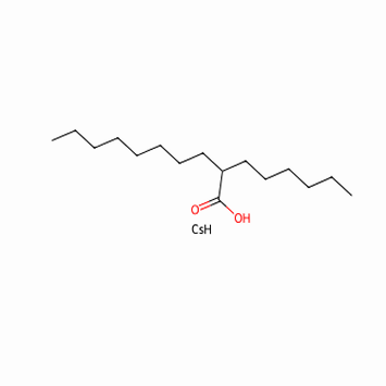 CCCCCCCCC(CCCCCC)C(=O)O.[CsH]